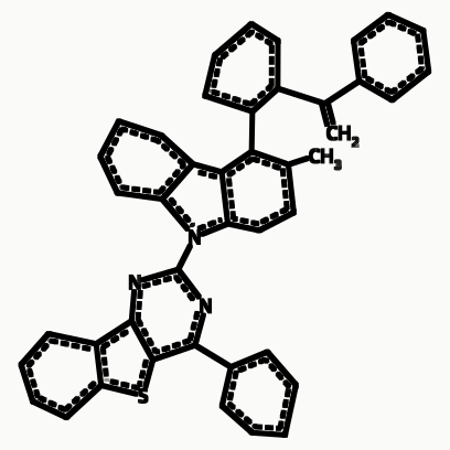 C=C(c1ccccc1)c1ccccc1-c1c(C)ccc2c1c1ccccc1n2-c1nc(-c2ccccc2)c2sc3ccccc3c2n1